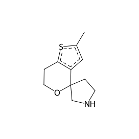 Cc1cc2c(s1)CCOC21CCNC1